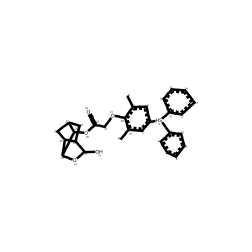 Cc1cc([SH](c2ccccc2)c2ccccc2)cc(C)c1OCC(=O)OC1C2CC3C(O)OC1C3C2